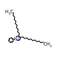 CCCCCCCCCCCCc1cc[n+](-c2ccccc2)cc1CCCCCCCCCCCC